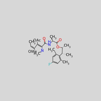 C=N/C(C(=O)N[C@@H](C)C(=O)O[C@H](C)[C@H](C)c1c(C)cc(F)cc1C)=C(OC(C)=O)\C(=C/C)OC